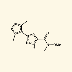 CON(C)C(=O)c1cc(-n2c(C)ccc2C)n[nH]1